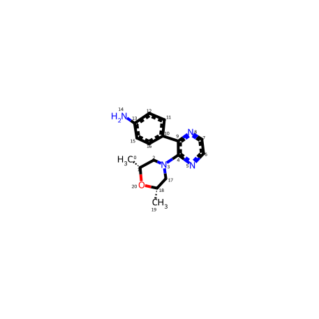 C[C@@H]1CN(c2nccnc2-c2ccc(N)cc2)C[C@H](C)O1